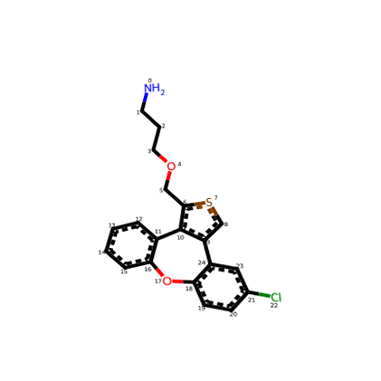 NCCCOCc1scc2c1-c1ccccc1Oc1ccc(Cl)cc1-2